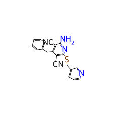 N#Cc1c(N)nc(SCc2cccnc2)c(C#N)c1Cc1ccccc1